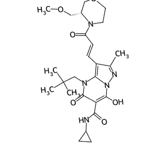 COC[C@@H]1COCCN1C(=O)/C=C/c1c(C)nn2c(O)c(C(=O)NC3CC3)c(=O)n(CC(C)(C)C)c12